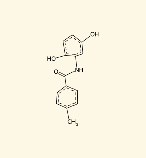 Cc1ccc(C(=O)Nc2cc(O)ccc2O)cc1